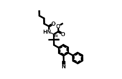 CCCCC(=O)N[C@H](C(=O)OC)C(C)(C)Cc1ccc(-c2ccccc2)c(C#N)c1